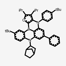 CC(C)c1oc2c(c1C(C)C)N(c1ccc(C(C)(C)C)cc1)c1cc(-c3ccccc3)cc3c1B2c1cc(C(C)(C)C)ccc1N3C1CC2CCC1C2